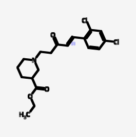 CCOC(=O)C1CCCN(CCC(=O)/C=C/c2ccc(Cl)cc2Cl)C1